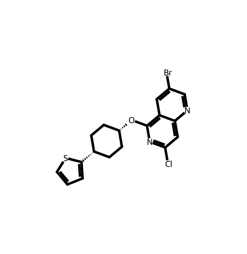 Clc1cc2ncc(Br)cc2c(O[C@H]2CC[C@@H](c3cccs3)CC2)n1